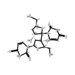 O=c1ccn([C@H]2C[C@@](O)([C@@]3(n4ccc(=O)[nH]c4=O)O[C@H](CO)C[C@H]3O)[C@@H](CO)O2)c(=O)[nH]1